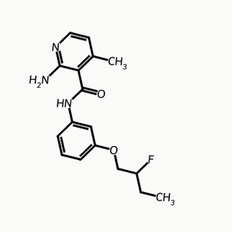 CCC(F)COc1cccc(NC(=O)c2c(C)ccnc2N)c1